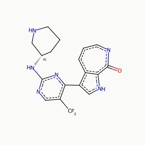 O=c1ncccc2c(-c3nc(N[C@H]4CCCNC4)ncc3C(F)(F)F)c[nH]c12